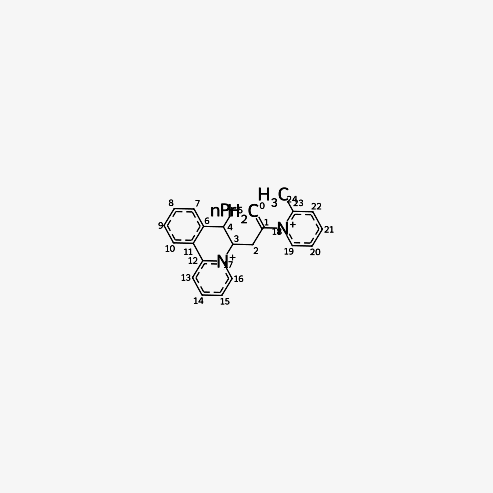 C=C(CC1C(CCC)c2ccccc2-c2cccc[n+]21)[n+]1ccccc1C